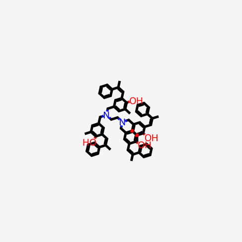 CC(=Cc1cc(CN(CCN(Cc2cc(C)c(O)c(C=C(C)c3ccccc3)c2)Cc2cc(C)c(O)c(C=C(C)c3ccccc3)c2)Cc2cc(C)c(O)c(C=C(C)c3ccccc3)c2)cc(C)c1O)c1ccccc1